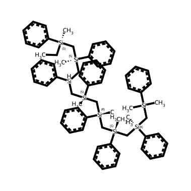 CC[Si@](C)(C[Si@](C)(C[SiH](C[Si@@](C)(C[Si@](C)(C[Si@](C)(C[Si@@](C)(C[Si](C)(C)c1ccccc1)c1ccccc1)c1ccccc1)c1ccccc1)c1ccccc1)c1ccccc1)c1ccccc1)c1ccccc1